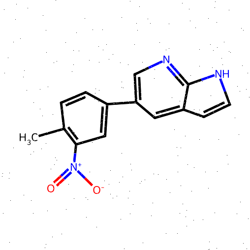 Cc1ccc(-c2cnc3[nH]ccc3c2)cc1[N+](=O)[O-]